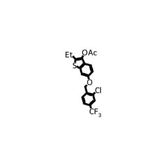 CCc1sc2cc(OCc3ccc(C(F)(F)F)cc3Cl)ccc2c1OC(C)=O